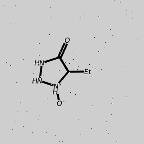 CCC1C(=O)NN[NH+]1[O-]